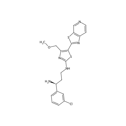 COCc1nc(NCC[C@H](N)c2cccc(Cl)c2)sc1-c1nc2ccncc2s1